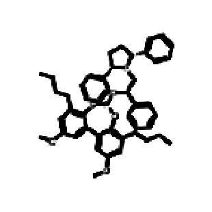 CCCCc1cc(OC)cc2c1op(OC(CP1[C@@H](c3ccccc3)CC[C@@H]1c1ccccc1)c1ccccc1)oc1c(CCCC)cc(OC)cc12